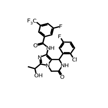 CC(O)c1nc(NC(=O)c2cc(F)cc(C(F)(F)F)c2)c2n1CC(=O)NC2c1cc(F)ccc1Cl